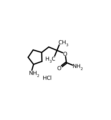 CC(C)(CC1CCC(N)C1)OC(N)=O.Cl